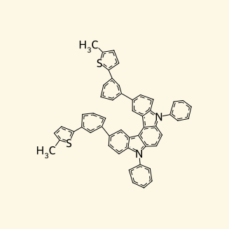 Cc1ccc(-c2cccc(-c3ccc4c(c3)c3c5c6cc(-c7cccc(-c8ccc(C)s8)c7)ccc6n(-c6ccccc6)c5ccc3n4-c3ccccc3)c2)s1